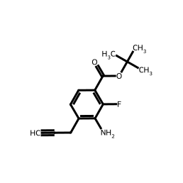 C#CCc1ccc(C(=O)OC(C)(C)C)c(F)c1N